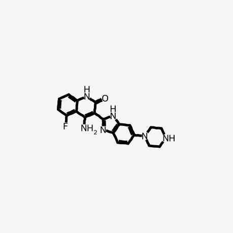 Nc1c(-c2nc3ccc(N4CCNCC4)cc3[nH]2)c(=O)[nH]c2cccc(F)c12